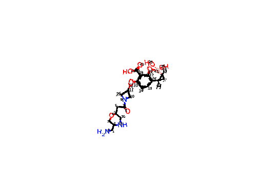 NCC1COC(CC(=O)N2CC(Oc3ccc4c(c3C(=O)O)O[B-](O)(O)[C@@H]3C[C@H]43)C2)CN1